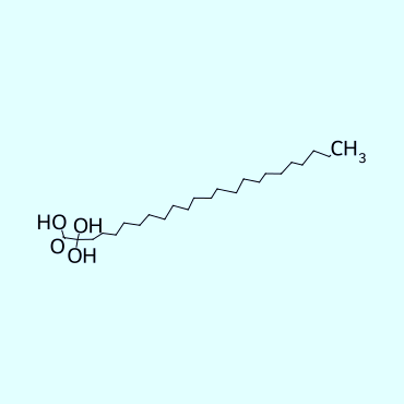 CCCCCCCCCCCCCCCCCCCCCCC(O)(O)C(=O)O